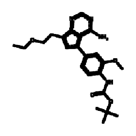 CCOCCc1cc(-c2ccc(NC(=O)OC(C)(C)C)c(OC)c2)c2c(N)ncnn12